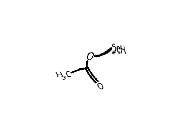 CC(=O)O[SeH]